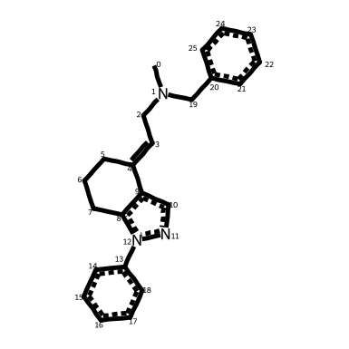 CN(CC=C1CCCc2c1cnn2-c1ccccc1)Cc1ccccc1